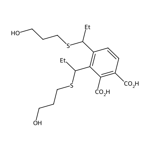 CCC(SCCCO)c1ccc(C(=O)O)c(C(=O)O)c1C(CC)SCCCO